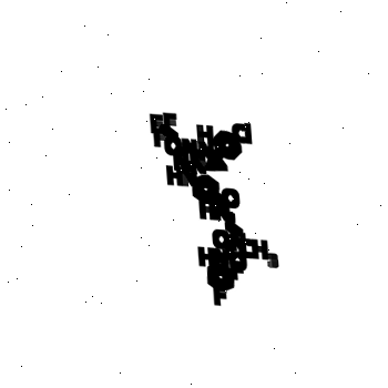 CN(CCCNC(=O)c1ccc(Nc2nc(NC3(c4ccc(Cl)cc4)CC3)nc(OCC(F)(F)F)n2)cc1)C(=O)C(=O)Nc1ccc(F)cc1F